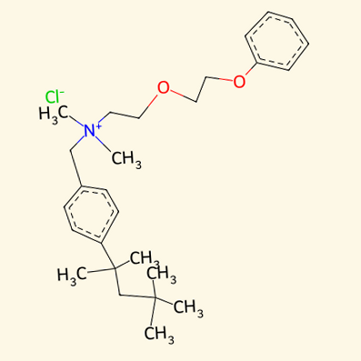 CC(C)(C)CC(C)(C)c1ccc(C[N+](C)(C)CCOCCOc2ccccc2)cc1.[Cl-]